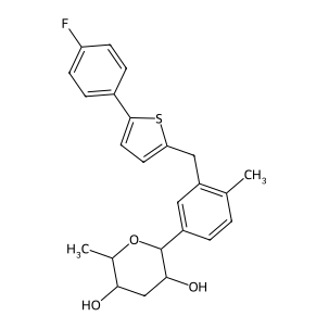 Cc1ccc(C2OC(C)C(O)CC2O)cc1Cc1ccc(-c2ccc(F)cc2)s1